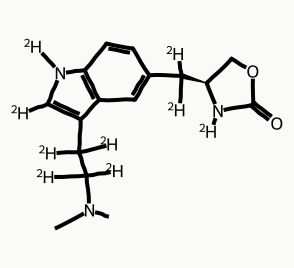 [2H]c1c(C([2H])([2H])C([2H])([2H])N(C)C)c2cc(C([2H])([2H])[C@H]3COC(=O)N3[2H])ccc2n1[2H]